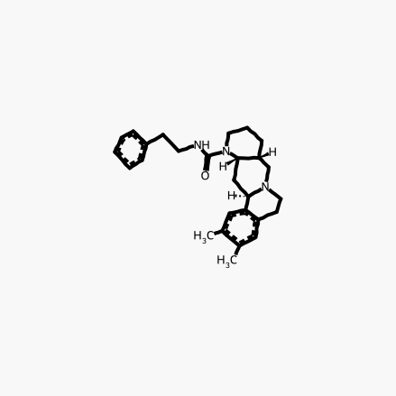 Cc1cc2c(cc1C)[C@H]1C[C@H]3[C@H](CCCN3C(=O)NCCc3ccccc3)CN1CC2